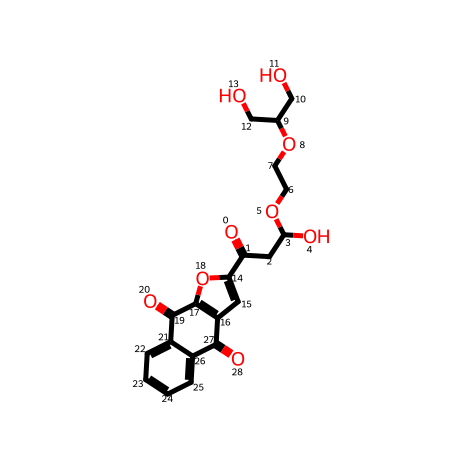 O=C(CC(O)OCCOC(CO)CO)c1cc2c(o1)C(=O)c1ccccc1C2=O